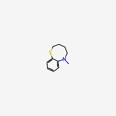 CN1CCCCSc2ccccc21